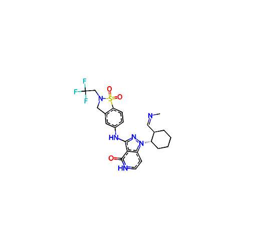 C/N=C\C1CCCC[C@@H]1n1nc(Nc2ccc3c(c2)CN(CC(F)(F)F)S3(=O)=O)c2c(=O)[nH]ccc21